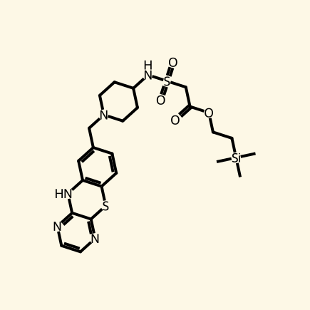 C[Si](C)(C)CCOC(=O)CS(=O)(=O)NC1CCN(Cc2ccc3c(c2)Nc2nccnc2S3)CC1